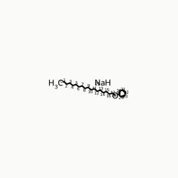 CCCCCCCCCCCCCCCCCCOc1ccccc1.[NaH]